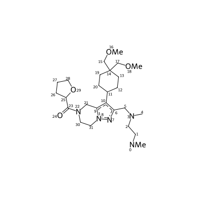 CNCCN(C)Cc1nn2c(c1C1CCC(COC)(COC)CC1)CN(C(=O)C1CCCO1)CC2